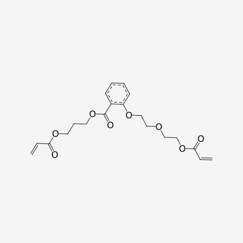 C=CC(=O)OCCCOC(=O)c1ccccc1OCCOCCOC(=O)C=C